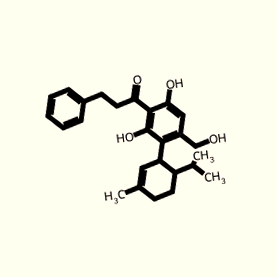 CC1=CC(c2c(CO)cc(O)c(C(=O)CCc3ccccc3)c2O)C(C(C)C)CC1